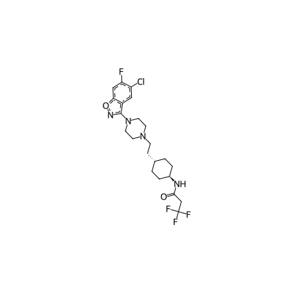 O=C(CC(F)(F)F)N[C@H]1CC[C@H](CCN2CCN(c3noc4cc(F)c(Cl)cc34)CC2)CC1